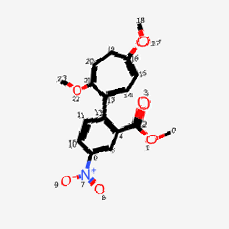 COC(=O)c1cc([N+](=O)[O-])ccc1C1=CC=C(OC)CC=C1OC